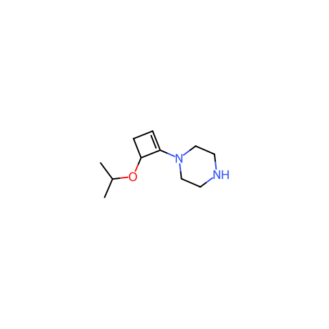 CC(C)OC1CC=C1N1CCNCC1